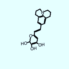 OC1=C(O)C(O)OC(/C=C/c2cc3c4c(c2)CCCN4CCC3)=C1